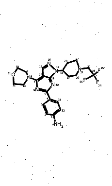 Nc1ccc(-c2nc(N3CCOCC3)c3cnn(C4CCN(CC(F)(F)F)CC4)c3n2)cc1